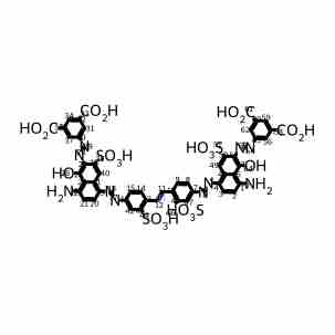 Nc1ccc(N=Nc2ccc(/C=C/c3ccc(N=Nc4ccc(N)c5c(O)c(N=Nc6cc(C(=O)O)cc(C(=O)O)c6)c(S(=O)(=O)O)cc45)cc3S(=O)(=O)O)c(S(=O)(=O)O)c2)c2cc(S(=O)(=O)O)c(N=Nc3cc(C(=O)O)cc(C(=O)O)c3)c(O)c12